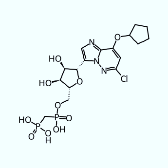 O=P(O)(O)CP(=O)(O)OC[C@H]1O[C@@H](c2cnc3c(OC4CCCC4)cc(Cl)nn23)[C@H](O)[C@@H]1O